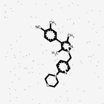 Cc1cc(-c2c(C)nn(Cc3ccc(N4CCOCC4)nc3)c2C)ccc1C#N